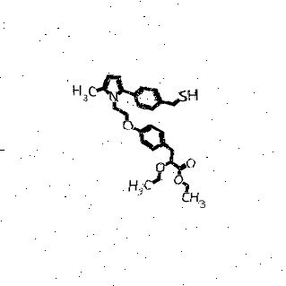 CCOC(=O)C(Cc1ccc(OCCn2c(C)ccc2-c2ccc(CS)cc2)cc1)OCC